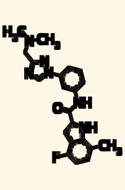 Cc1ccc(F)c2cc(C(=O)Nc3cccc(-n4cnc(CN(C)C)n4)c3)[nH]c12